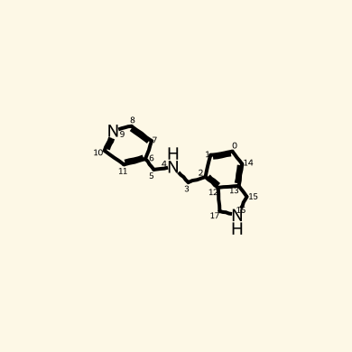 c1cc(CNCc2ccncc2)c2c(c1)CNC2